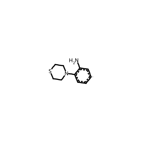 Nc1c[c]ccc1N1CCSCC1